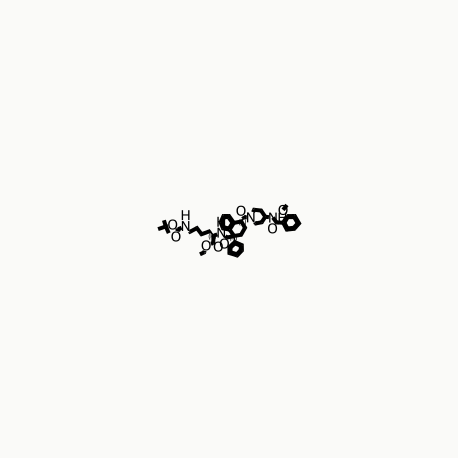 CCOC(=O)[C@@H](CCCCNC(=O)OC(C)(C)C)NC(=O)[C@@]1(c2ccccc2)CC[C@H](C(=O)N2CCC(NC(=O)c3ccccc3OC)CC2)c2ccccc21